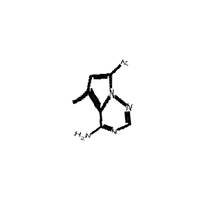 CC(=O)c1cc(C)c2c(N)ncnn12